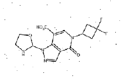 O=C(O)c1cn(C2CC(F)(F)C2)c(=O)c2cnn(C3NCCO3)c12